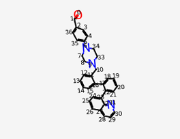 O=[C]c1ccc(N2CCN(Cc3ccccc3-c3ccccc3-c3cccc4cccnc34)CC2)cc1